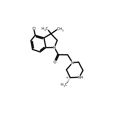 C[C@@H]1CN(CC(=O)N2CC(C)(C)c3c(Cl)cccc32)CCN1